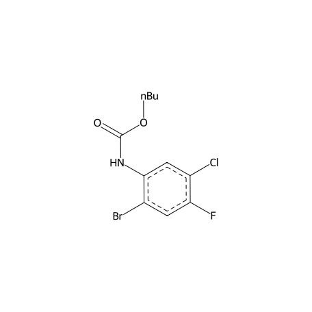 CCCCOC(=O)Nc1cc(Cl)c(F)cc1Br